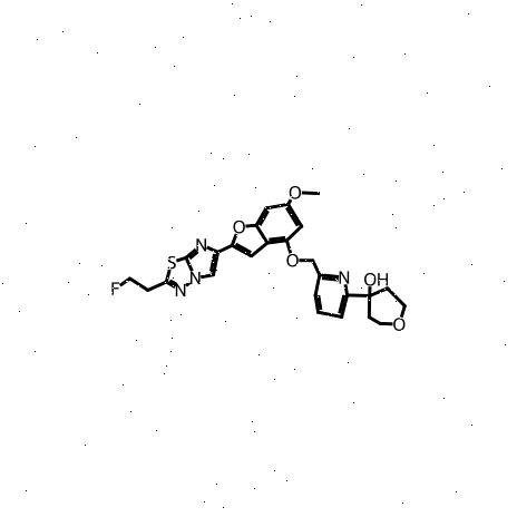 COc1cc(OCc2cccc(C3(O)CCOCC3)n2)c2cc(-c3cn4nc(CCF)sc4n3)oc2c1